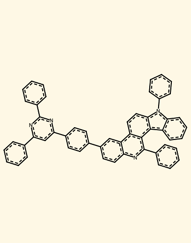 c1ccc(-c2cc(-c3ccc(-c4ccc5nc(-c6ccccc6)c6c(ccc7c6c6ccccc6n7-c6ccccc6)c5c4)cc3)nc(-c3ccccc3)n2)cc1